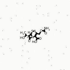 CC(O)[C@H]1C(=O)N2C(C(=O)O)=C(COC(N)=O)SS[C@H]12